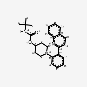 CC(C)(C)NC(=O)OC1CCN(c2ccccc2-c2ccc3ccccc3n2)CC1